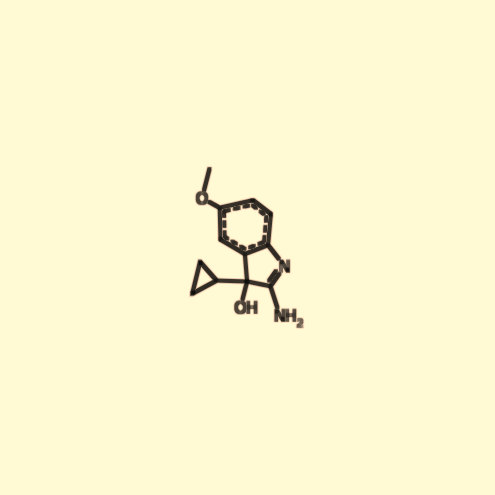 COc1ccc2c(c1)C(O)(C1CC1)C(N)=N2